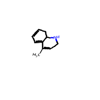 CC1=CCNC2CC=CC=C12